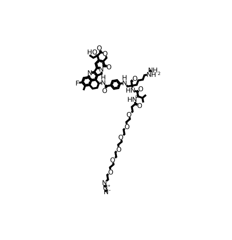 CC[C@@]1(O)C(=O)OCc2c1cc1n(c2=O)Cc2c-1nc1cc(F)c(C)c3c1c2[C@@H](NC(=O)c1ccc(NCC(C=O)(CCCCNN)NC(=O)[C@@H](NC(=O)CCOCCOCCOCCOCCOCCOCCN=[N+]=[N-])C(C)C)cc1)CC3